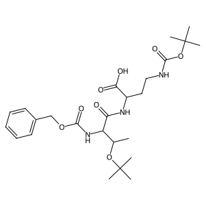 CC(OC(C)(C)C)C(NC(=O)OCc1ccccc1)C(=O)NC(CCNC(=O)OC(C)(C)C)C(=O)O